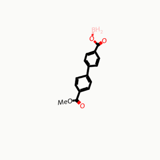 BOC(=O)c1ccc(-c2ccc(C(=O)OC)cc2)cc1